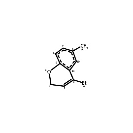 [CH2]CC1=CCOc2ccc(C(F)(F)F)cc21